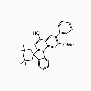 COc1cc2c3c(cc(O)c2cc1-c1ccccc1)C1(CC(C)(C)CC(C)(C)C1)c1ccccc1-3